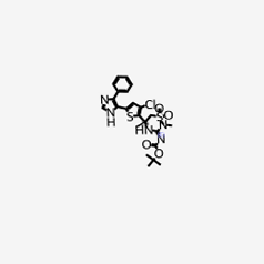 CN1/C(=N/C(=O)OC(C)(C)C)N[C@](C)(c2sc(-c3[nH]cnc3-c3ccccc3)cc2Cl)CS1(=O)=O